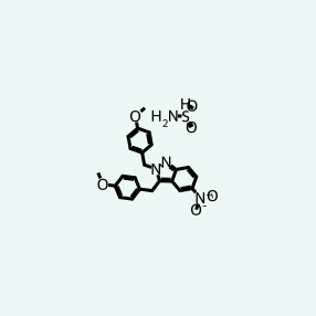 COc1ccc(Cc2c3cc([N+](=O)[O-])ccc3nn2Cc2ccc(OC)cc2)cc1.N[SH](=O)=O